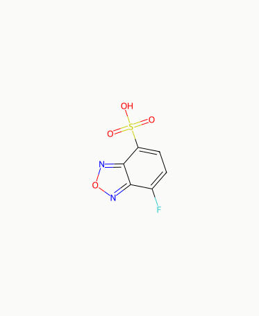 O=S(=O)(O)c1ccc(F)c2nonc12